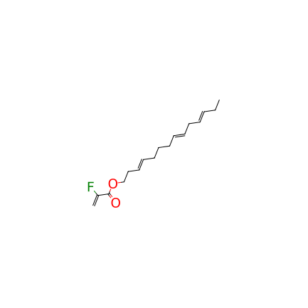 C=C(F)C(=O)OCCC=CCCCC=CCC=CCC